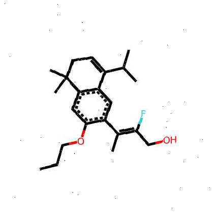 CCCOc1cc2c(cc1C(C)=C(F)CO)C(C(C)C)=CCC2(C)C